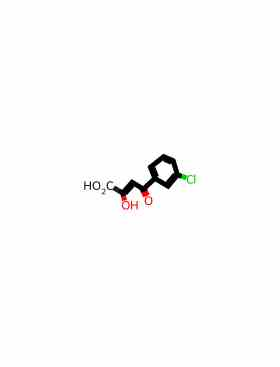 O=C(O)C(O)=CC(=O)c1cccc(Cl)c1